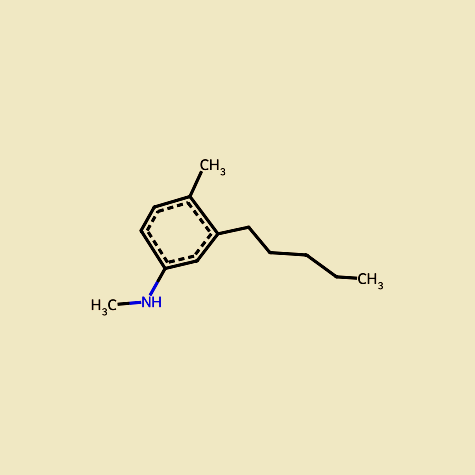 CCCCCc1cc(NC)ccc1C